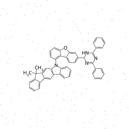 CC1(C)c2ccccc2-c2cc3c4ccccc4n(-c4cccc5oc6cc(C7N=C(c8ccccc8)N=C(c8ccccc8)N7)ccc6c45)c3cc21